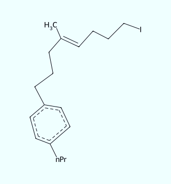 CCCc1ccc(CCCC(C)=CCCCI)cc1